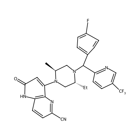 CC[C@@H]1CN(c2cc(=O)[nH]c3ccc(C#N)nc23)[C@@H](C)CN1C(c1ccc(F)cc1)c1ccc(C(F)(F)F)cn1